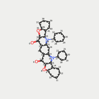 O=c1c2cc3c(=O)c4oc5ccccc5c4n(-c4ccccc4)c3cc2n(-c2ccccc2)c2c1oc1ccccc12